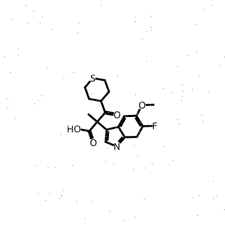 COC1=C(F)CC2=NC=C(C(C)(C(=O)O)C(=O)C3CCSCC3)C2=C1